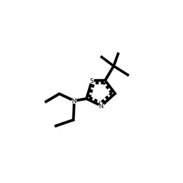 CCN(CC)c1ncc(C(C)(C)C)s1